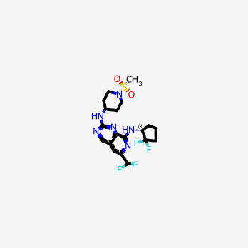 CS(=O)(=O)N1CCC(Nc2ncc3cc(C(F)F)nc(N[C@@H]4CCCC4(F)F)c3n2)CC1